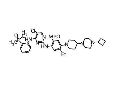 CCc1cc(Nc2ncc(Cl)c(Nc3ccccc3P(C)(C)=O)n2)c(OC)cc1N1CCC(N2CCN(C3CCC3)CC2)CC1